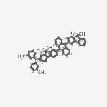 Cc1cccc(N(c2cccc(C)c2)c2ccc3c(c2)C(C)(C)c2cc(-c4c5ccccc5c(-c5ccc6c(c5)-c5ccccc5C6(C)C)c5ccccc45)ccc2-3)c1